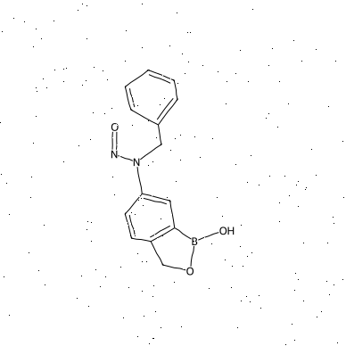 O=NN(Cc1ccccc1)c1ccc2c(c1)B(O)OC2